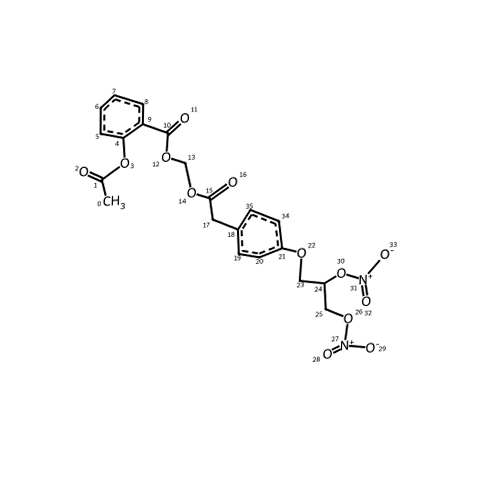 CC(=O)Oc1ccccc1C(=O)OCOC(=O)Cc1ccc(OCC(CO[N+](=O)[O-])O[N+](=O)[O-])cc1